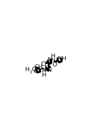 CC1(C)C[C@@H](CNc2cncc(-c3cc(NC(=O)C4=CCCNC4)ncc3Cl)n2)CCO1